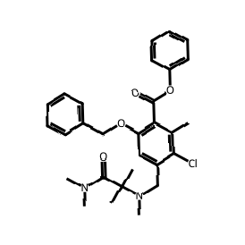 Cc1c(Cl)c(CN(C)C(C)(C)C(=O)N(C)C)cc(OCc2ccccc2)c1C(=O)Oc1ccccc1